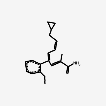 C=C(N)/C(C)=C/C(=C\C=C/CC1CC1)c1ccccc1CC